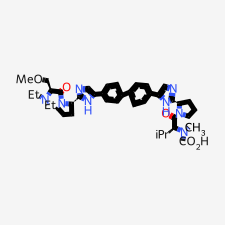 CCN(CC)[C@@H](COC)C(=O)N1CCC[C@H]1c1ncc(-c2ccc(-c3ccc(-c4cnc([C@@H]5CCCN5C(=O)[C@H](C(C)C)N(C)C(=O)O)[nH]4)cc3)cc2)[nH]1